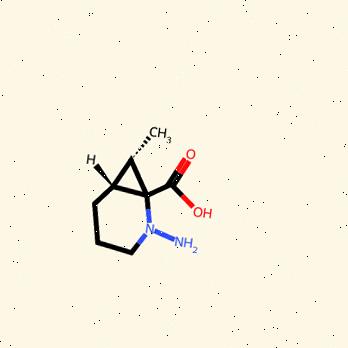 C[C@H]1[C@H]2CCCN(N)C21C(=O)O